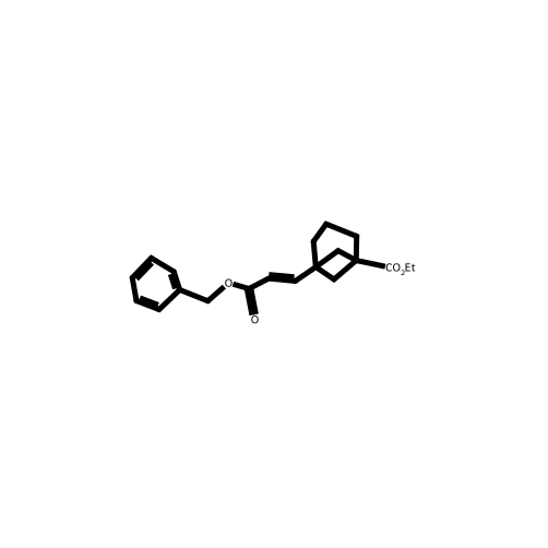 CCOC(=O)C12CCCC(/C=C/C(=O)OCc3ccccc3)(C1)C2